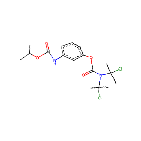 CC(C)OC(=O)Nc1cccc(OC(=O)N(C(C)(C)Cl)C(C)(C)Cl)c1